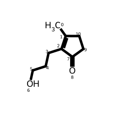 CC1=C(CCCO)C(=O)CC1